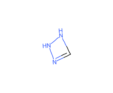 c1n[nH][nH]1